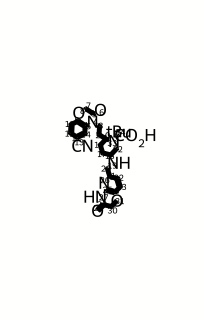 CC(C)(C)[C@]1(CCN2C(=O)COc3ccc(C#N)cc32)CC[C@H](NCc2ccc3c(n2)NC(=O)CO3)CN1C(=O)O